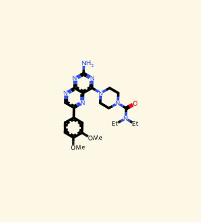 CCN(CC)C(=O)N1CCN(c2nc(N)nc3ncc(-c4ccc(OC)c(OC)c4)nc23)CC1